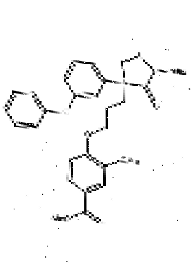 CCCCC1SC[N+](CCCOc2ccc(C(=O)OC)cc2OC)(c2cccc(Oc3ccccc3)c2)C1=O